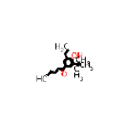 C#CCCCC(=O)c1cc(CC=C)c(O)c(C(C)(C)C)c1